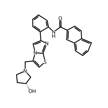 O=C(Nc1ccccc1-c1cn2c(CN3CC[C@@H](O)C3)csc2n1)c1ccc2ccccc2c1